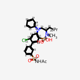 CC(=O)NS(=O)(=O)c1cccc(-c2cc3c(cc2Cl)N(c2ccccc2)CC(CC(C)C)N(C)S3(O)O)c1